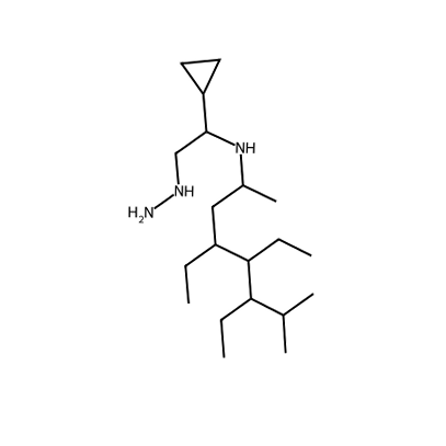 CCC(CC(C)NC(CNN)C1CC1)C(CC)C(CC)C(C)C